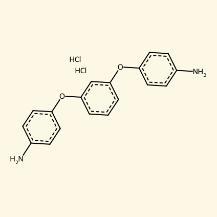 Cl.Cl.Nc1ccc(Oc2cccc(Oc3ccc(N)cc3)c2)cc1